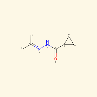 CC(C)=NNC(=O)C1CC1